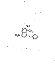 CC(C(=O)O)n1c(CCc2ccccc2)ccc(N)c1=O